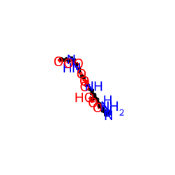 CN(CCC(=O)NCCOCCOCC(=O)NCCCCC(CCCC(=O)C(N)Cc1cnc[nH]1)C(=O)O)C(=O)CCC=O